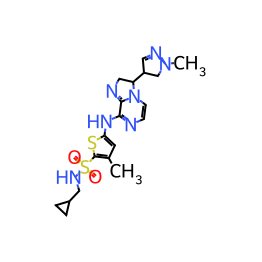 Cc1cc(NC2=NC=CN3C2=NCC3C2C=NN(C)C2)sc1S(=O)(=O)NCC1CC1